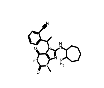 CC(c1ccccc1C#N)n1c(NC2CCCCCC2N)nc2c1c(=O)[nH]c(=O)n2C